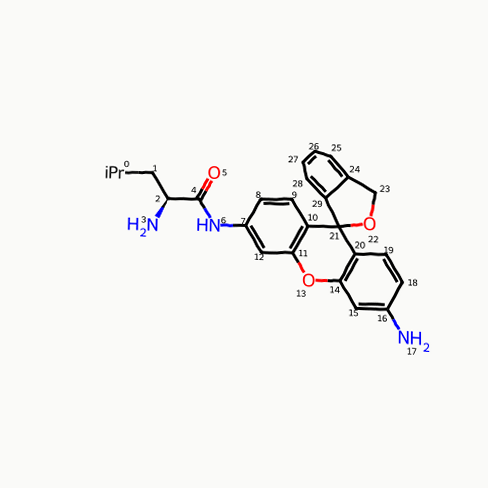 CC(C)C[C@H](N)C(=O)Nc1ccc2c(c1)Oc1cc(N)ccc1C21OCc2ccccc21